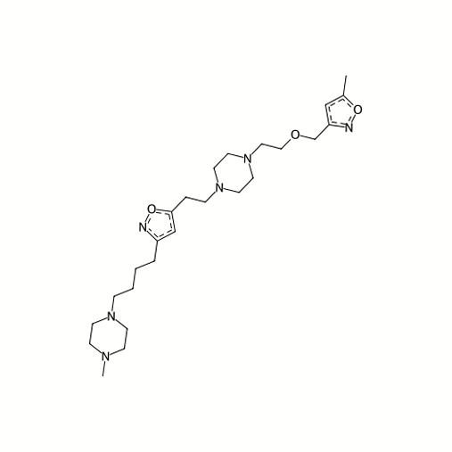 Cc1cc(COCCN2CCN(CCc3cc(CCCCN4CCN(C)CC4)no3)CC2)no1